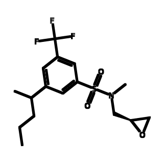 CCCC(C)c1cc(C(F)(F)F)cc(S(=O)(=O)N(C)C[C@H]2CO2)c1